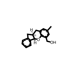 Cc1cc(CO)c2c(c1)C[C@@H]1Cc3ccccc3[C@@H]1O2